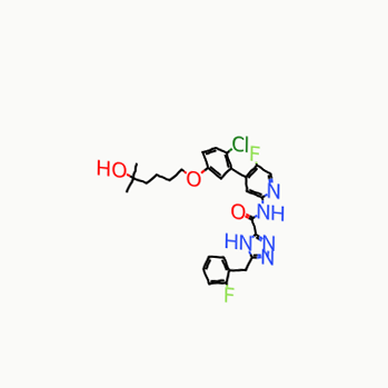 CC(C)(O)CCCCOc1ccc(Cl)c(-c2cc(NC(=O)c3nnc(Cc4ccccc4F)[nH]3)ncc2F)c1